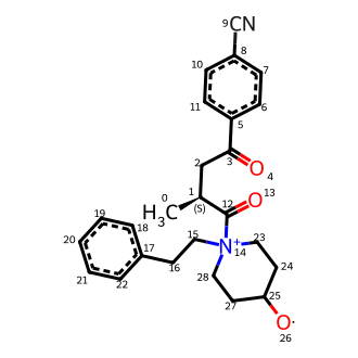 C[C@@H](CC(=O)c1ccc(C#N)cc1)C(=O)[N+]1(CCc2ccccc2)CCC([O])CC1